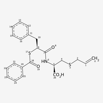 C=CCSC[C@H](NC(=O)[C@H](Cc1ccccc1)SC(=O)c1ccccc1)C(=O)O